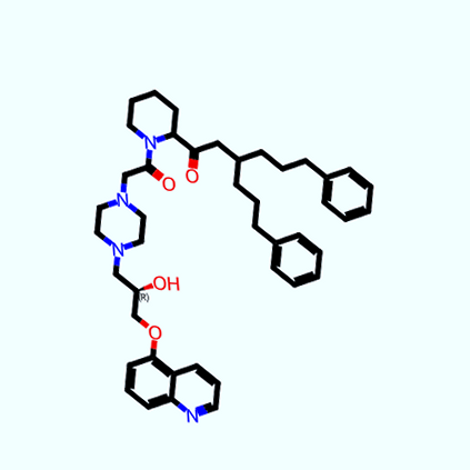 O=C(CC(CCCc1ccccc1)CCCc1ccccc1)C1CCCCN1C(=O)CN1CCN(C[C@@H](O)COc2cccc3ncccc23)CC1